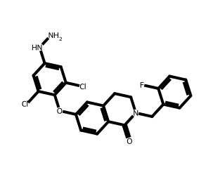 NNc1cc(Cl)c(Oc2ccc3c(c2)CCN(Cc2ccccc2F)C3=O)c(Cl)c1